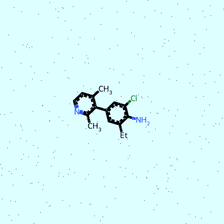 CCc1cc(-c2c(C)ccnc2C)cc(Cl)c1N